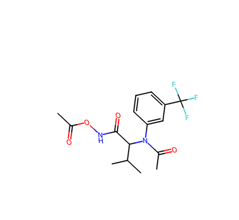 CC(=O)ONC(=O)C(C(C)C)N(C(C)=O)c1cccc(C(F)(F)F)c1